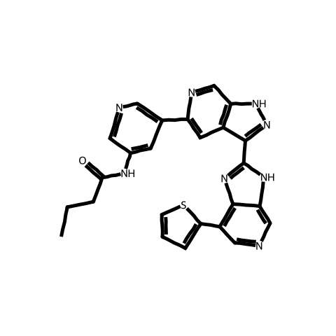 CCCC(=O)Nc1cncc(-c2cc3c(-c4nc5c(-c6cccs6)cncc5[nH]4)n[nH]c3cn2)c1